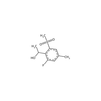 Cc1cc(F)c(C(C)O)c(S(C)(=O)=O)c1